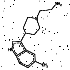 Cc1ccc2[nH]cc(C3CCN(CCN)CC3)c2c1